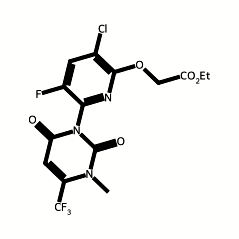 CCOC(=O)COc1nc(-n2c(=O)cc(C(F)(F)F)n(C)c2=O)c(F)cc1Cl